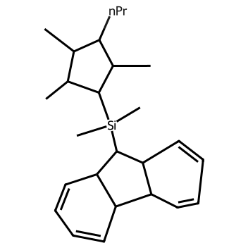 CCCC1C(C)C(C)C([Si](C)(C)C2C3C=CC=CC3C3C=CC=CC32)C1C